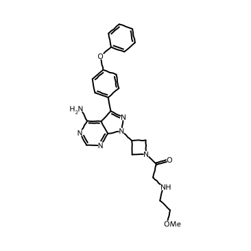 COCCNCC(=O)N1CC(n2nc(-c3ccc(Oc4ccccc4)cc3)c3c(N)ncnc32)C1